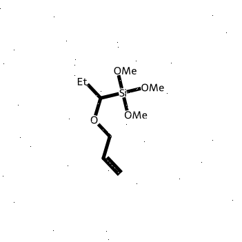 C=CCOC(CC)[Si](OC)(OC)OC